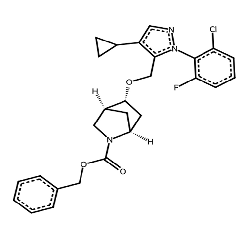 O=C(OCc1ccccc1)N1C[C@@H]2C[C@H]1C[C@H]2OCc1c(C2CC2)cnn1-c1c(F)cccc1Cl